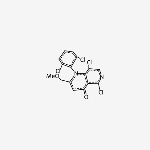 COCc1cc(=O)c2c(Cl)ncc(Cl)c2n1-c1c(Cl)cccc1Cl